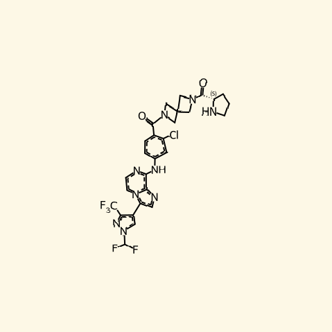 O=C(c1ccc(Nc2nccn3c(-c4cn(C(F)F)nc4C(F)(F)F)cnc23)cc1Cl)N1CC2(C1)CN(C(=O)[C@@H]1CCCN1)C2